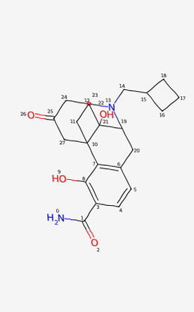 NC(=O)c1ccc2c(c1O)C13CCN(CC4CCC4)C(C2)C1(O)CCC(=O)C3